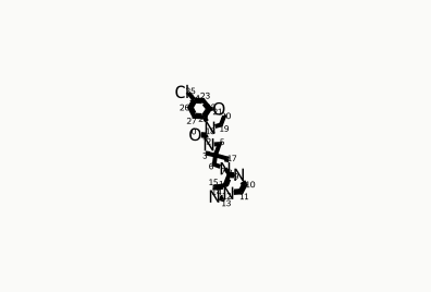 O=C(N1CC2(C1)CN(c1nccn3cncc13)C2)N1CCOc2cc(Cl)ccc21